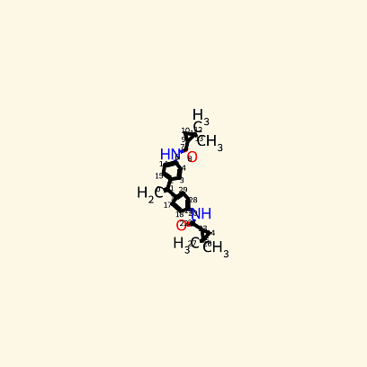 C=C(c1ccc(NC(=O)C2CC2(C)C)cc1)c1ccc(NC(=O)C2CC2(C)C)cc1